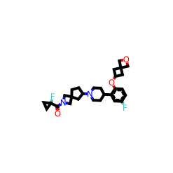 O=C(N1CC2(CCC(N3CCC(c4cc(F)ccc4OC4CC5(COC5)C4)CC3)C2)C1)C1(F)CC1